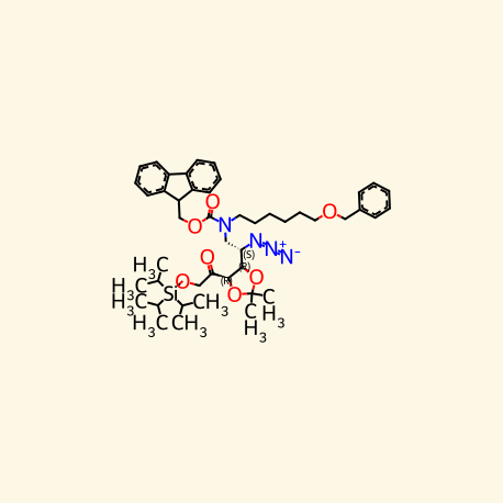 CC(C)[Si](OCC(=O)[C@@H]1OC(C)(C)O[C@@H]1[C@H](CN(CCCCCCOCc1ccccc1)C(=O)OCC1c2ccccc2-c2ccccc21)N=[N+]=[N-])(C(C)C)C(C)C